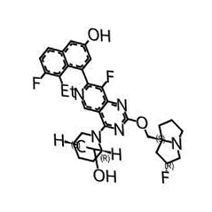 CCc1c(F)ccc2cc(O)cc(-c3ncc4c(N5C[C@H]6CC[C@@H]5C(O)C6)nc(OC[C@@]56CCCN5C[C@H](F)C6)nc4c3F)c12